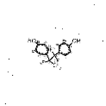 Oc1ccc(C(F)(F)C(F)(c2ccc(O)cc2)C(F)(F)F)cc1